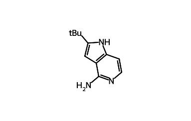 CC(C)(C)c1cc2c(N)nccc2[nH]1